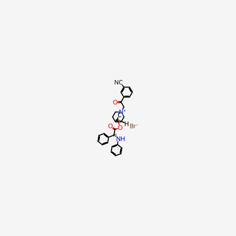 N#Cc1cccc(C(=O)C[N+]23CCC(CC2)[C@@H](OC(=O)[C@H](Nc2ccccc2)c2ccccc2)C3)c1.[Br-]